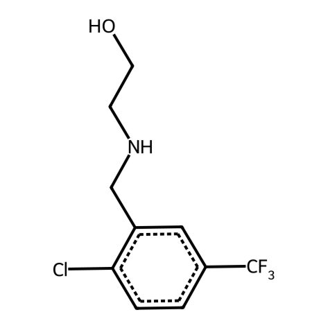 OCCNCc1cc(C(F)(F)F)ccc1Cl